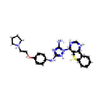 Nc1nc(Nc2ccc(OCCN3CCCC3)cc2)nn1-c1ncnc2c1sc1ccccc12